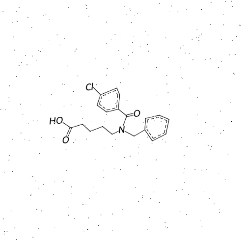 O=C(O)CCCCN(Cc1ccccc1)C(=O)c1ccc(Cl)cc1